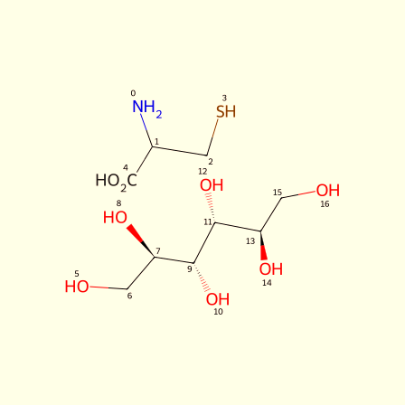 NC(CS)C(=O)O.OC[C@@H](O)[C@@H](O)[C@H](O)[C@H](O)CO